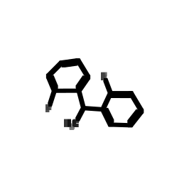 CC(c1ccccc1F)c1ccccc1F